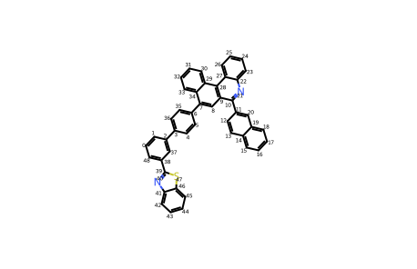 c1cc(-c2ccc(-c3cc4c(-c5ccc6ccccc6c5)nc5ccccc5c4c4ccccc34)cc2)cc(-c2nc3ccccc3s2)c1